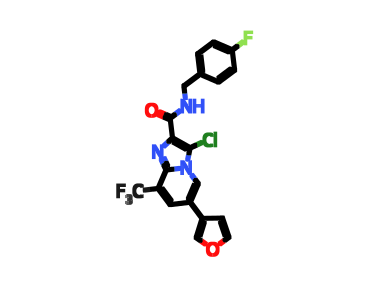 O=C(NCc1ccc(F)cc1)c1nc2c(C(F)(F)F)cc(-c3ccoc3)cn2c1Cl